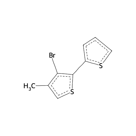 Cc1csc(-c2cccs2)c1Br